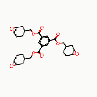 O=C(OCC1CCC2OC2C1)c1cc(C(=O)OCC2CCC3OC3C2)cc(C(=O)OCC2CCC3OC3C2)c1